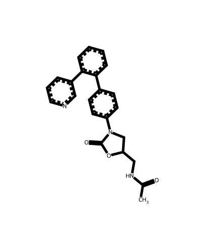 CC(=O)NCC1CN(c2ccc(-c3ccccc3-c3cccnc3)cc2)C(=O)O1